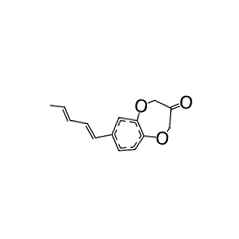 CC=CC=Cc1ccc2c(c1)OCC(=O)CO2